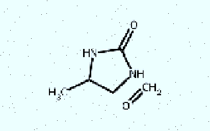 C=O.CC1CNC(=O)N1